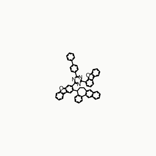 c1ccc(-c2ccc(-c3nc(-c4cc5oc6ccccc6c5cc4C4CCc5cc6ccccc6cc5-c5ccccc54)nc(-c4cccc5c4oc4ccccc45)n3)cc2)cc1